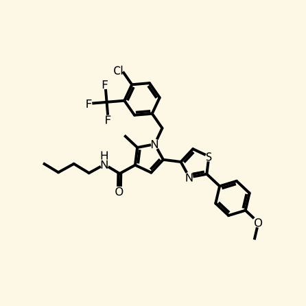 CCCCNC(=O)c1cc(-c2csc(-c3ccc(OC)cc3)n2)n(Cc2ccc(Cl)c(C(F)(F)F)c2)c1C